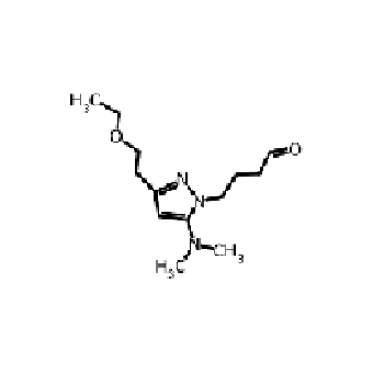 CCOCCc1cc(N(C)C)n(CCCC=O)n1